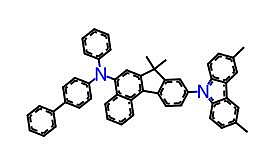 Cc1ccc2c(c1)c1cc(C)ccc1n2-c1ccc2c(c1)C(C)(C)c1cc(N(c3ccccc3)c3ccc(-c4ccccc4)cc3)c3ccccc3c1-2